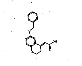 O=C(O)C=C1CCOc2cnc(OCc3ccccc3)cc21